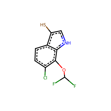 FC(F)Oc1c(Cl)ccc2c(S)c[nH]c12